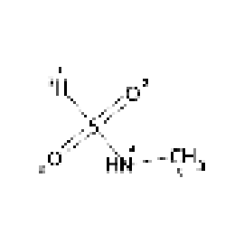 [3H]S(=O)(=O)NC